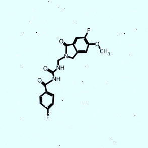 COc1cc2c(cc1F)C(=O)N(CNC(=O)NC(=O)c1ccc(F)cc1)C2